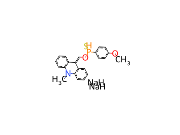 COc1ccc([PH](=S)OC=C2c3ccccc3N(C)c3ccccc32)cc1.[NaH].[NaH]